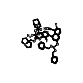 C#Cc1c(F)ccc2cc(OP(OCc3ccccc3)OCc3ccccc3)cc(-c3ncc4c(N5CC6CCC(C5)N6C(=O)OC(C)(C)C)nc(OCC56CCCN5CCC6)nc4c3F)c12